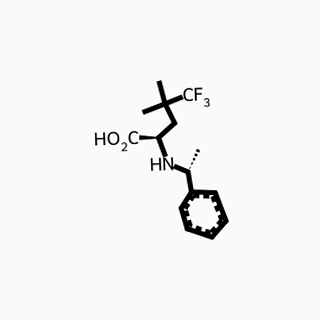 C[C@@H](N[C@H](CC(C)(C)C(F)(F)F)C(=O)O)c1ccccc1